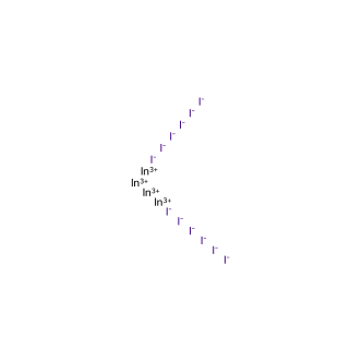 [I-].[I-].[I-].[I-].[I-].[I-].[I-].[I-].[I-].[I-].[I-].[I-].[In+3].[In+3].[In+3].[In+3]